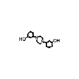 Oc1cccc(N2CCN(c3cccc(O)c3)CC2)c1